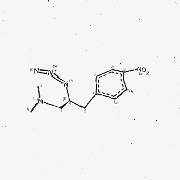 CN(C)C[C@H](Cc1ccc([N+](=O)[O-])cc1)N=[N+]=[N-]